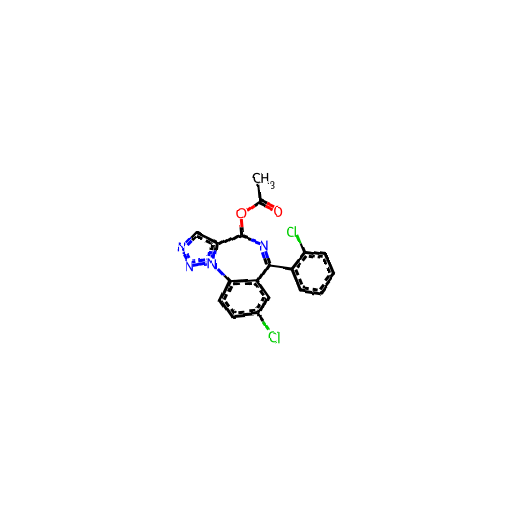 CC(=O)OC1N=C(c2ccccc2Cl)c2cc(Cl)ccc2-n2nncc21